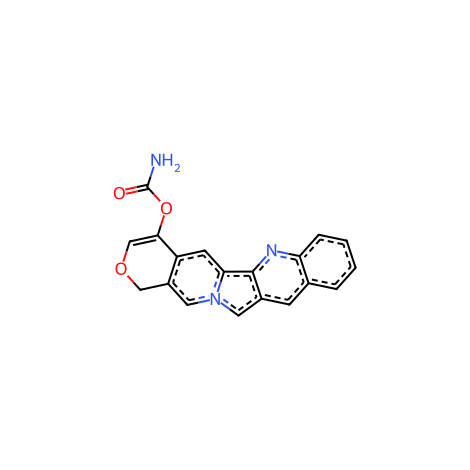 NC(=O)OC1=COCc2cn3cc4cc5ccccc5nc4c3cc21